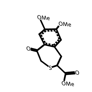 COC(=O)C1Cc2cc(OC)c(OC)cc2C(=O)CS1